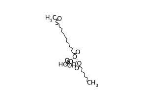 CCCCCCCC(=O)O[C@@H](COC(=O)CCCCCCCCCCCCSC(C)=O)COP(=O)(O)O